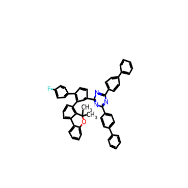 CC1(C)Oc2ccccc2-c2cccc(-c3cc(-c4nc(-c5ccc(-c6ccccc6)cc5)nc(-c5ccc(-c6ccccc6)cc5)n4)ccc3-c3ccc(F)cc3)c21